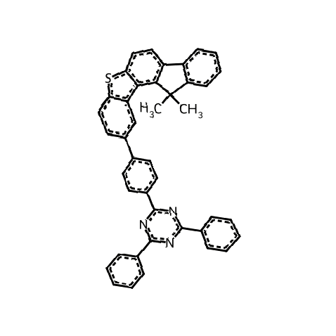 CC1(C)c2ccccc2-c2ccc3sc4ccc(-c5ccc(-c6nc(-c7ccccc7)nc(-c7ccccc7)n6)cc5)cc4c3c21